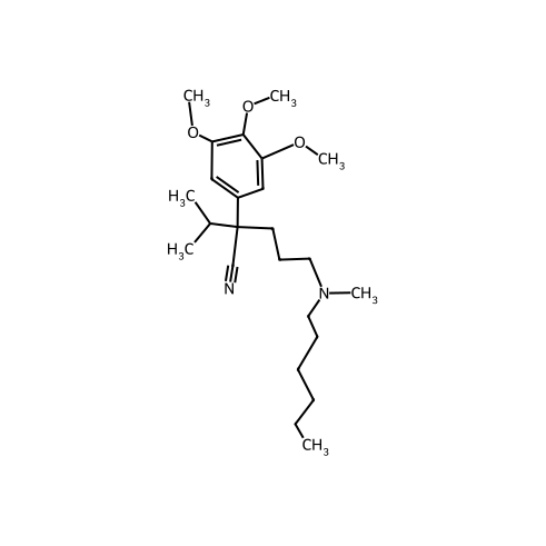 CCCCCCN(C)CCCC(C#N)(c1cc(OC)c(OC)c(OC)c1)C(C)C